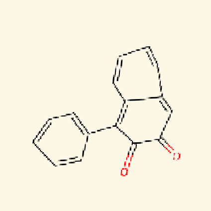 O=C1C=c2ccccc2=C(c2ccccc2)C1=O